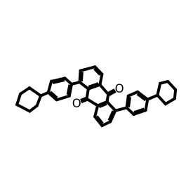 O=C1c2cccc(-c3ccc(C4CCCCC4)cc3)c2C(=O)c2cccc(-c3ccc(C4CCCCC4)cc3)c21